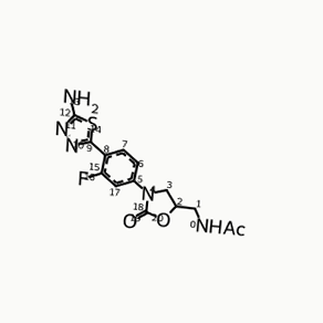 CC(=O)NCC1CN(c2ccc(-c3nnc(N)s3)c(F)c2)C(=O)O1